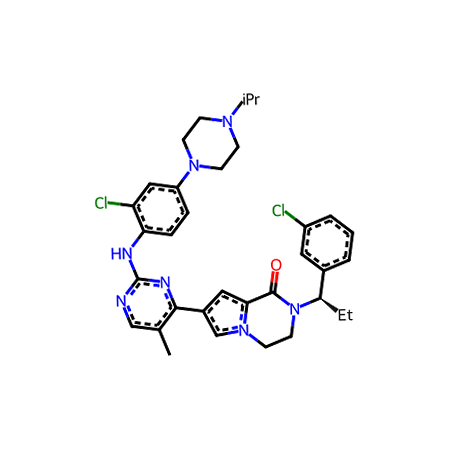 CC[C@H](c1cccc(Cl)c1)N1CCn2cc(-c3nc(Nc4ccc(N5CCN(C(C)C)CC5)cc4Cl)ncc3C)cc2C1=O